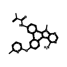 C=C(C)C(=O)Nc1ccc2c(c1)c1cc(Oc3cccc(C)n3)ccc1c1c3c(N)ncnc3n(C)c21